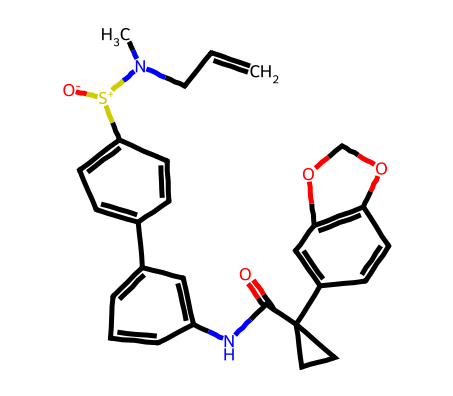 C=CCN(C)[S+]([O-])c1ccc(-c2cccc(NC(=O)C3(c4ccc5c(c4)OCO5)CC3)c2)cc1